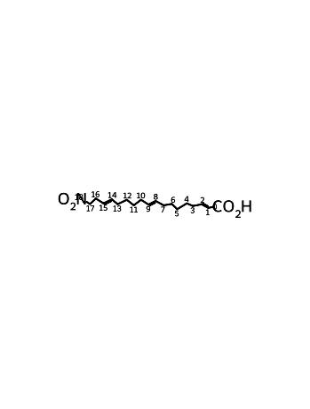 O=C(O)C=CCCCCCC=CCCCCC=CCC[N+](=O)[O-]